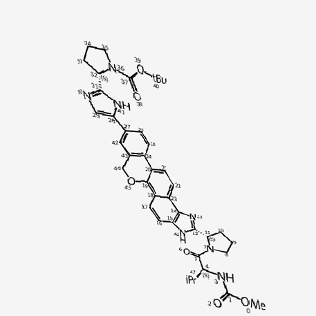 COC(=O)N[C@H](C(=O)N1CCC[C@H]1c1nc2c(ccc3c4c(ccc32)-c2ccc(-c3cnc([C@@H]5CCCN5C(=O)OC(C)(C)C)[nH]3)cc2CO4)[nH]1)C(C)C